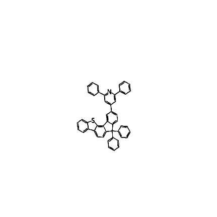 c1ccc(-c2cc(-c3ccc4c(c3)-c3c(ccc5c3sc3ccccc35)C4(c3ccccc3)c3ccccc3)cc(-c3ccccc3)n2)cc1